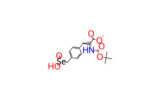 COC(=O)[C@H](Cc1ccc(C[Se](=O)O)cc1)NC(=O)OC(C)(C)C